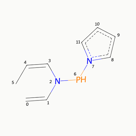 C=CN(/C=C\C)Pn1cccc1